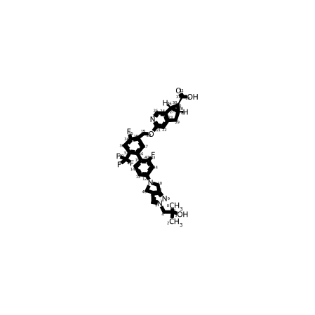 CC(C)(O)Cn1cc2c(n1)CN(c1ccc(-c3cc(COc4cc5c(cn4)[C@H]4[C@@H](C5)[C@@H]4C(=O)O)c(F)cc3C(F)(F)F)c(F)c1)C2